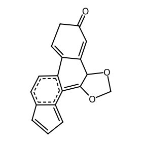 O=C1C=C2C(=CC1)c1ccc3c(c1=C1OCOC21)=CC=C3